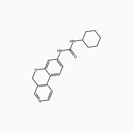 O=C(Nc1ccc2c(c1)OCc1cnccc1-2)NC1CCCCC1